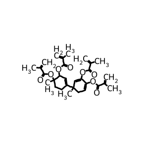 C=C(C)C(=O)OC1=CCC(C)(C2=CC(OC(=O)C(=C)C)C(C)(OC(=O)C(=C)C)CC2)C=C1OC(=O)C(=C)C